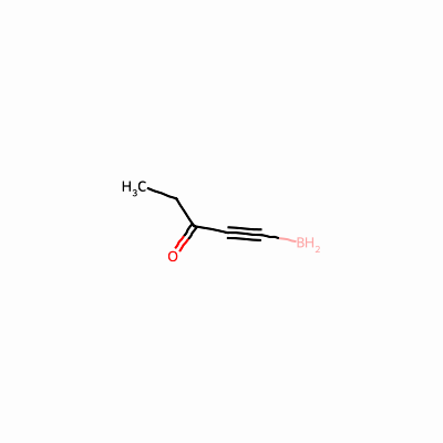 BC#CC(=O)CC